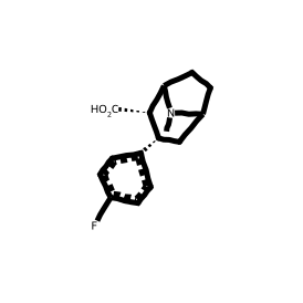 CN1C2CCC1[C@@H](C(=O)O)[C@@H](c1ccc(F)cc1)C2